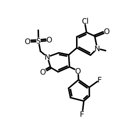 Cn1cc(-c2cn(CS(C)(=O)=O)c(=O)cc2Oc2ccc(F)cc2F)cc(Cl)c1=O